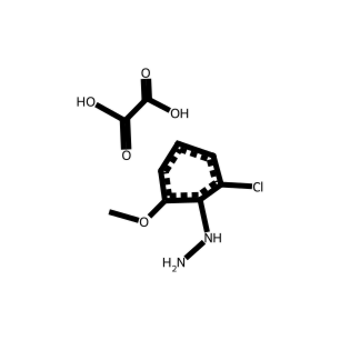 COc1cccc(Cl)c1NN.O=C(O)C(=O)O